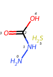 NNC(=O)O.S